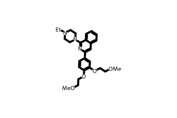 CCN1CCN(c2nc(-c3ccc(OCCOC)c(OCCOC)c3)cc3ccccc23)CC1